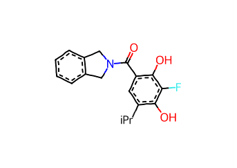 CC(C)c1cc(C(=O)N2Cc3ccccc3C2)c(O)c(F)c1O